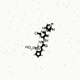 CN1C[C@@H]2C[C@H]1CN2c1nc(Cl)nc(NNC(=O)[C@@H](CNC(=O)O)CC2CCCC2)c1F